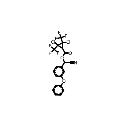 N#CC(OC(=O)C1C(Cl)(C(F)(F)F)C1(Cl)C(F)(F)F)c1cccc(Oc2ccccc2)c1